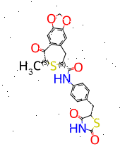 C[C@@H]1S[C@@H](C(=O)Nc2ccc(CC3SC(=O)NC3=O)cc2)Cc2cc3c(cc2C1=O)OCO3